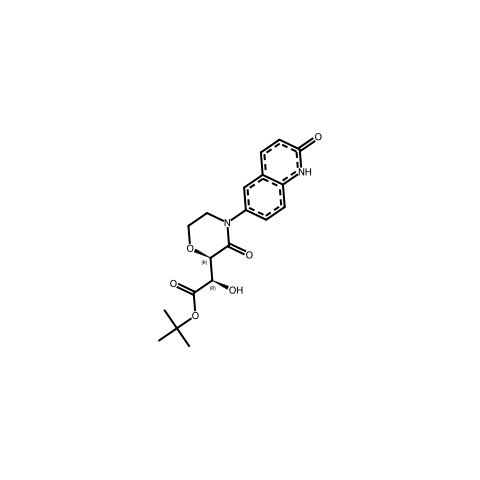 CC(C)(C)OC(=O)[C@H](O)[C@H]1OCCN(c2ccc3[nH]c(=O)ccc3c2)C1=O